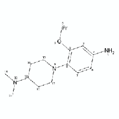 CC(C)Oc1cc(N)ccc1N1CCC(N(C)C)CC1